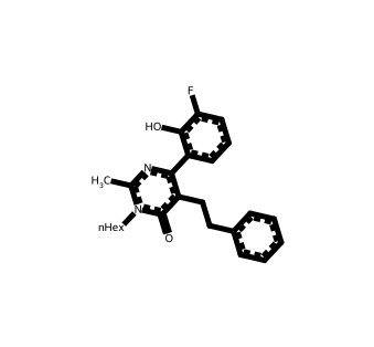 CCCCCCn1c(C)nc(-c2cccc(F)c2O)c(CCc2ccccc2)c1=O